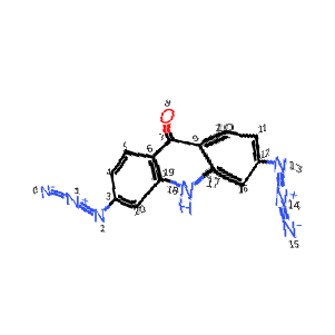 [N-]=[N+]=Nc1ccc2c(=O)c3ccc(N=[N+]=[N-])cc3[nH]c2c1